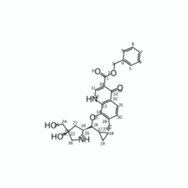 O=C(OCc1ccccc1)c1c[nH]c2c(OC(C3CC3)[C@@H]3C[C@@](O)(CO)CN3)c(F)ccc2c1=O